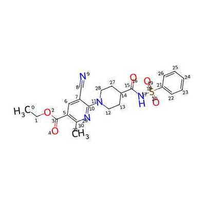 CCOC(=O)c1cc(C#N)c(N2CCC(C(=O)NS(=O)(=O)c3ccccc3)CC2)nc1C